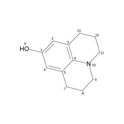 Oc1cc2c3c(c1)CCCN3CCC2